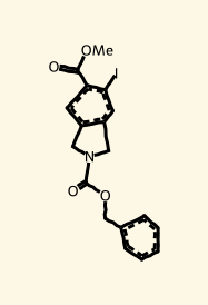 COC(=O)c1cc2c(cc1I)CN(C(=O)OCc1ccccc1)C2